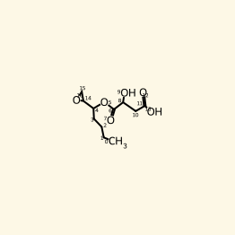 CCCCC(OC(=O)C(O)CC(=O)O)C1CO1